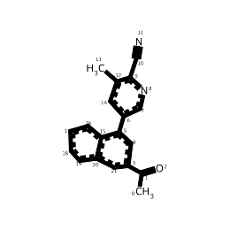 CC(=O)c1cc(-c2cnc(C#N)c(C)c2)c2ccccc2c1